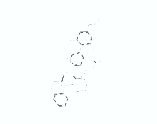 COCc1cc(C)c(-c2cncc([C@H](CC(=O)OC)NC(=O)C(CC(C)C)N3C(=O)CCc4ccccc43)c2)c(C)c1